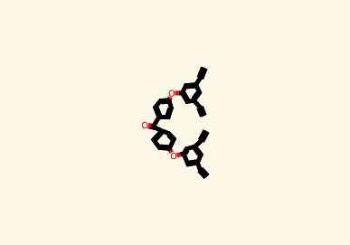 C#Cc1cc(C#C)cc(Oc2ccc(C(=O)c3ccc(Oc4cc(C#C)cc(C#C)c4)cc3)cc2)c1